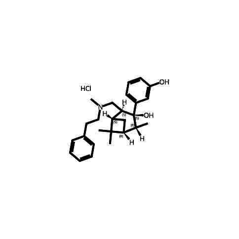 C[C@@H]1[C@H]2C[C@@H]([C@@H](CN(C)CCc3ccccc3)[C@]1(O)c1cccc(O)c1)C2(C)C.Cl